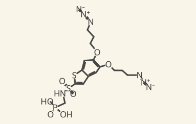 [N-]=[N+]=NCCCOc1cc2cc(S(=O)(=O)NCP(=O)(O)O)sc2cc1OCCCN=[N+]=[N-]